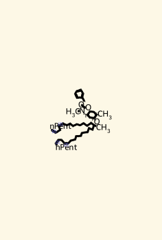 CCCCC/C=C\C/C=C\CCCCCCCCC(C)(CCCCCCCC/C=C\C/C=C\CCCCC)O[C@@H]1C[C@H](CN(C)C(=O)OCc2ccccc2)CC[C@@H]1C